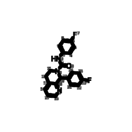 O=C(Nc1ccc(F)cc1)N1CCc2cccnc2C1c1ccc(F)cc1